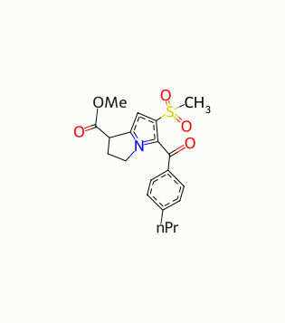 CCCc1ccc(C(=O)c2c(S(C)(=O)=O)cc3n2CCC3C(=O)OC)cc1